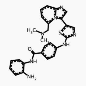 CN(C)Cc1cccc2ncc(-c3cnc(Nc4ccc(C(=O)Nc5ccccc5N)cc4)s3)n12